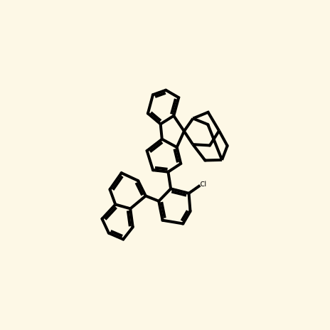 Clc1cccc(-c2cccc3ccccc23)c1-c1ccc2c(c1)C1(c3ccccc3-2)C2CC3CC(C2)CC1C3